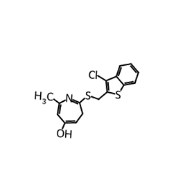 CC1=CC(O)=CCC(SCc2sc3ccccc3c2Cl)=N1